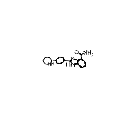 NC(=O)c1cccc2[nH]c(-c3ccc([C@H]4CCCCN4)cc3)nc12